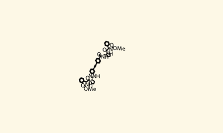 COC(=O)N[C@@H](C(=O)N1CCC[C@H]1CNC(=O)c1ccc(C#Cc2ccc3nc([C@@H]4CCCN4C(=O)[C@H](NC(=O)OC)c4ccccc4)[nH]c3c2)cc1)c1ccccc1